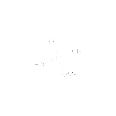 [CH2]OP(=O)(O)O